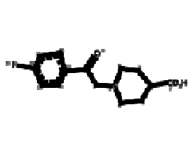 O=C(CN1CCC(C(=O)O)CC1)c1ccc(F)cc1